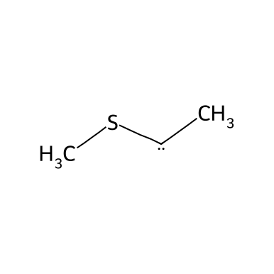 C[C]SC